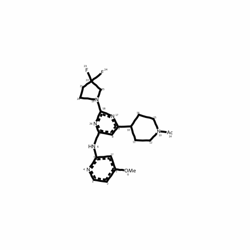 COc1ccnc(Nc2cc(C3CCN(C(C)=O)CC3)nc(N3CCC(F)(F)C3)n2)c1